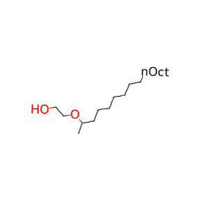 CCCCCCCCCCCCCCCC(C)OCCO